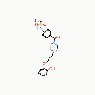 CS(=O)(=O)Nc1ccc(C(=O)N2CCN(CCCOc3ccccc3O)CC2)cc1